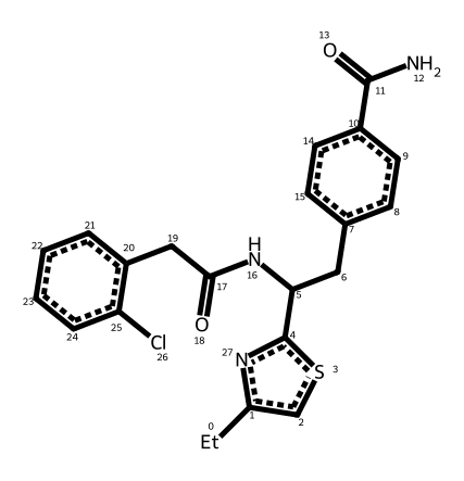 CCc1csc(C(Cc2ccc(C(N)=O)cc2)NC(=O)Cc2ccccc2Cl)n1